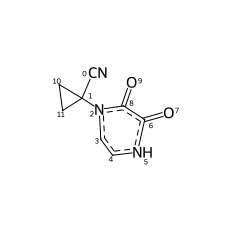 N#CC1(n2cc[nH]c(=O)c2=O)CC1